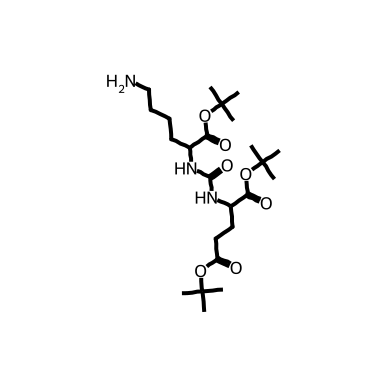 CC(C)(C)OC(=O)CCC(NC(=O)NC(CCCCN)C(=O)OC(C)(C)C)C(=O)OC(C)(C)C